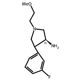 COCCN1CC(c2cccc(F)c2)[C@H](N)C1